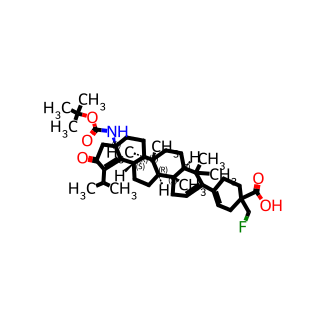 CC(C)C1=C2[C@H]3CC[C@@H]4[C@@]5(C)CC=C(C6=CCC(CF)(C(=O)O)CC6)C(C)(C)[C@@H]5CC[C@@]4(C)[C@]3(C)CC[C@@]2(NC(=O)OC(C)(C)C)CC1=O